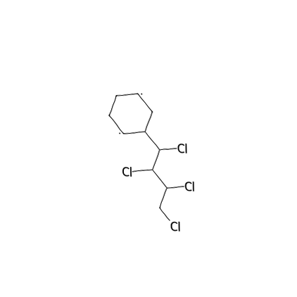 ClCC(Cl)C(Cl)C(Cl)C1[CH]CC[CH]C1